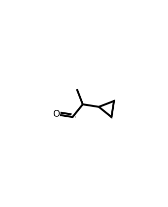 CC([C]=O)C1CC1